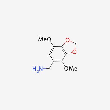 COc1cc(CN)c(OC)c2c1OCO2